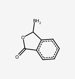 BC1OC(=O)c2ccccc21